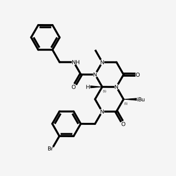 CCC(C)[C@H]1C(=O)N(Cc2cccc(Br)c2)C[C@H]2N1C(=O)CN(C)N2C(=O)NCc1ccccc1